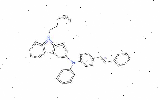 CCCCn1c2ccccc2c2cc(N(c3ccccc3)c3ccc(/C=C/c4ccccc4)cc3)ccc21